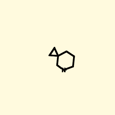 C1C[N]CC2(C1)CC2